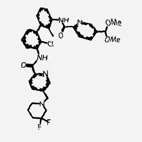 COC(OC)c1ccc(C(=O)Nc2cccc(-c3cccc(NC(=O)c4ccc(CN5CCCC(F)(F)C5)cn4)c3Cl)c2C)nc1